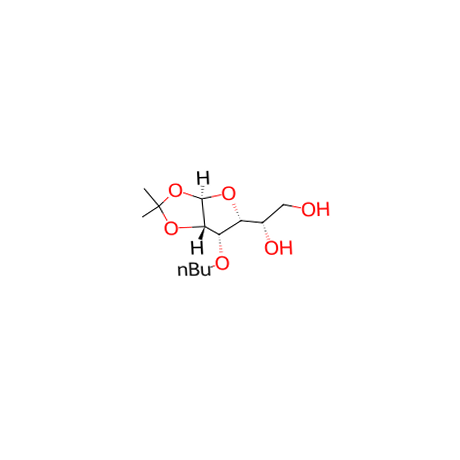 CCCCO[C@@H]1[C@@H]2OC(C)(C)O[C@H]2O[C@@H]1[C@@H](O)CO